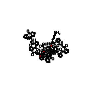 NCCCC[C@H](NC(=O)CNC(=O)[C@@H]1CCCN1C(=O)[C@@H]1CCCN1C(=O)CNC(=O)[C@@H]1CCCN1C(=O)[C@@H]1CCCN1C(=O)CNC(=O)[C@@H]1CCCN1C(=O)[C@@H]1CCCN1)C(=O)N1CCC[C@H]1C(=O)NCC(=O)N1CCC[C@H]1C(=O)N1CCC[C@H]1C(=O)NCC(=O)N1CCC[C@H]1C(=O)N1CCC[C@H]1C(=O)NCC(=O)N1CCC[C@H]1C(=O)N1CCC[C@H]1C(=O)NCC(=O)O